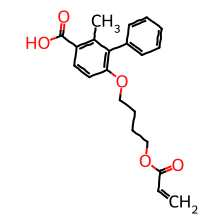 C=CC(=O)OCCCCOc1ccc(C(=O)O)c(C)c1-c1ccccc1